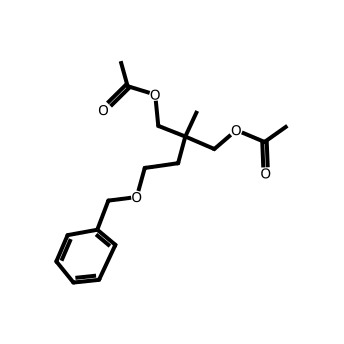 CC(=O)OCC(C)(CCOCc1ccccc1)COC(C)=O